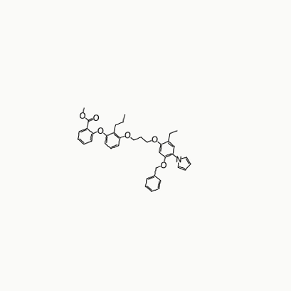 CCCc1c(OCCCOc2cc(OCc3ccccc3)c(-n3cccc3)cc2CC)cccc1Oc1ccccc1C(=O)OC